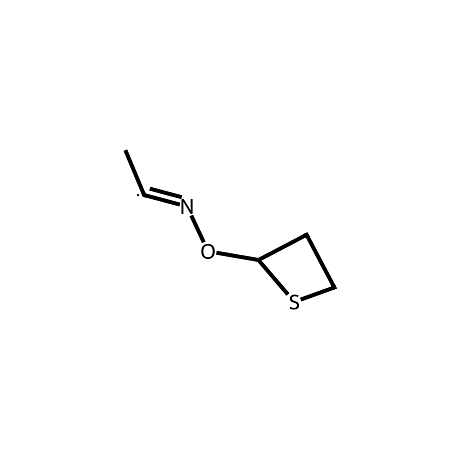 C[C]=NOC1CCS1